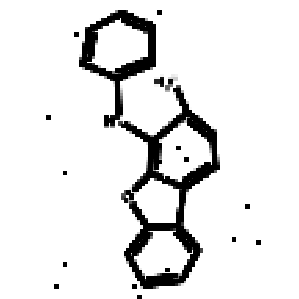 Cc1ccc2c(oc3ccccc32)c1Nc1ccccc1